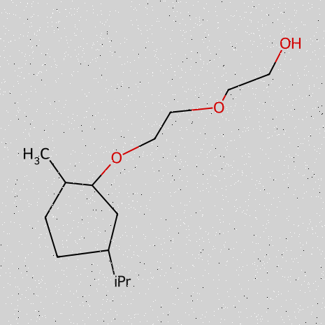 CC(C)C1CCC(C)C(OCCOCCO)C1